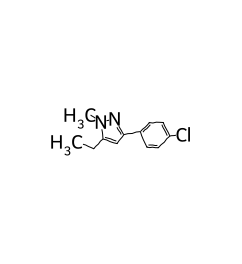 CCc1cc(-c2ccc(Cl)cc2)nn1C